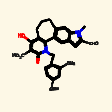 COc1ccc(Cn2c3c(c(O)c(C(=O)O)c2=O)CCCc2cc4c(cc2-3)cc(C=O)n4C)c(OC)c1